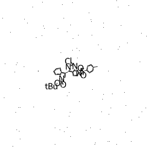 Cc1ccc(S(=O)(=O)n2ccc3c(-c4cn(C(=O)OC(C)(C)C)c5ccccc45)nc(Cl)nc32)cc1